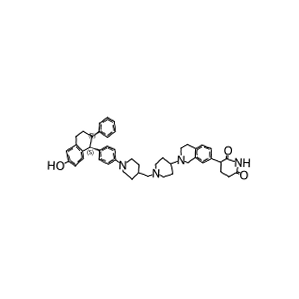 O=C1CCC(c2ccc3c(c2)CN(C2CCN(CC4CCN(c5ccc([C@H]6c7ccc(O)cc7CC[C@H]6c6ccccc6)cc5)CC4)CC2)CC3)C(=O)N1